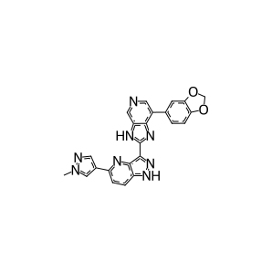 Cn1cc(-c2ccc3[nH]nc(-c4nc5c(-c6ccc7c(c6)OCO7)cncc5[nH]4)c3n2)cn1